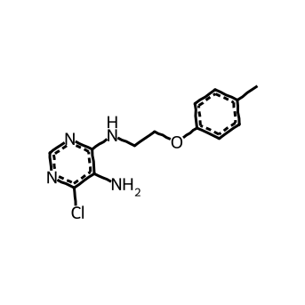 Cc1ccc(OCCNc2ncnc(Cl)c2N)cc1